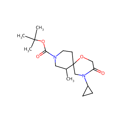 CC1CN(C(=O)OC(C)(C)C)CCC12CN(C1CC1)C(=O)CO2